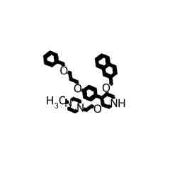 CN1CCN(CCOC2CNCC(OCc3ccc4ccccc4c3)C2c2ccc(OCCCOCc3ccccc3)cc2)CC1